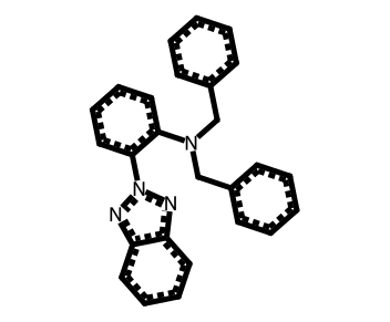 c1ccc(CN(Cc2ccccc2)c2ccccc2-n2nc3ccccc3n2)cc1